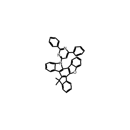 CC1(C)c2ccccc2-c2c1c1c3ccccc3n(-c3cc(-c4ccccc4)nc(-c4ccccc4)n3)c1c1c2oc2ccccc21